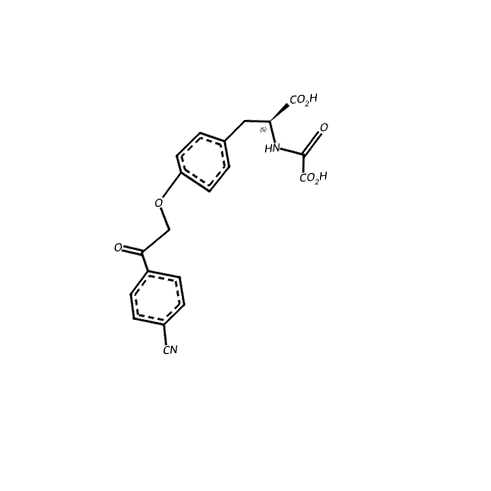 N#Cc1ccc(C(=O)COc2ccc(C[C@H](NC(=O)C(=O)O)C(=O)O)cc2)cc1